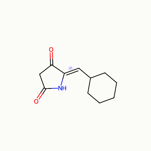 O=C1CC(=O)/C(=C/C2CCCCC2)N1